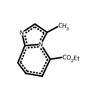 CCOC(=O)c1cccc2ncc(C)n12